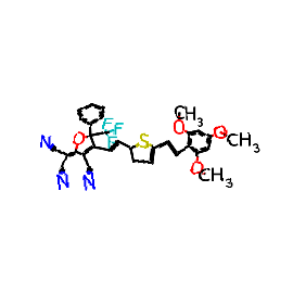 COc1cc(OC)c(/C=C/C2=CCC(/C=C/C3=C(C#N)C(=C(C#N)C#N)OC3(c3ccccc3)C(F)(F)F)S2)c(OC)c1